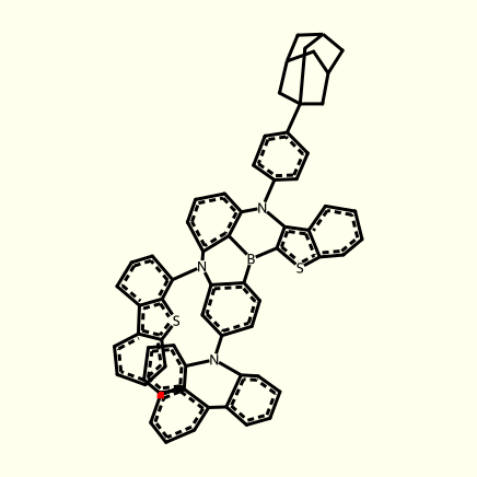 c1ccc(-c2ccccc2N(c2ccccc2)c2ccc3c(c2)N(c2cccc4c2sc2ccccc24)c2cccc4c2B3c2sc3ccccc3c2N4c2ccc(C34CC5CC(CC(C5)C3)C4)cc2)cc1